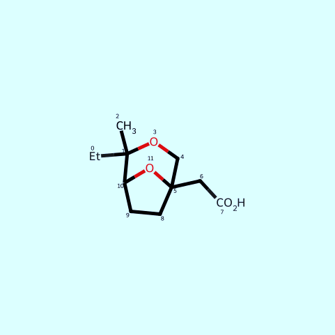 CCC1(C)OCC2(CC(=O)O)CCC1O2